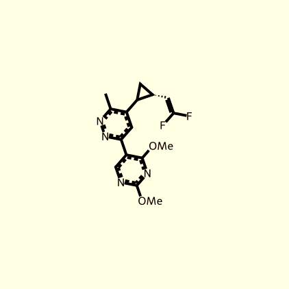 COc1ncc(-c2cc(C3C[C@@H]3C=C(F)F)c(C)nn2)c(OC)n1